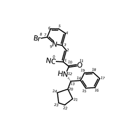 N#C/C(=C\c1cccc(Br)n1)C(=O)N[C@H](c1ccccc1)C1CCCC1